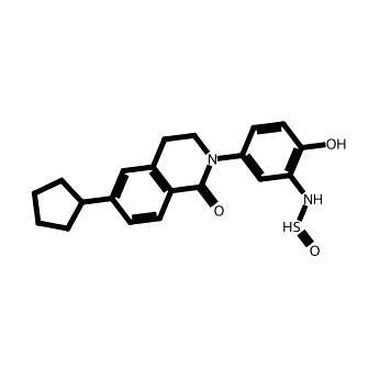 O=[SH]Nc1cc(N2CCc3cc(C4CCCC4)ccc3C2=O)ccc1O